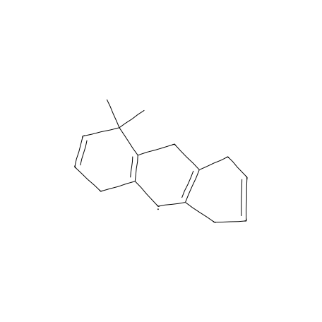 CC1(C)C=CCC2=C1CC1=C([CH]2)CC=CC1